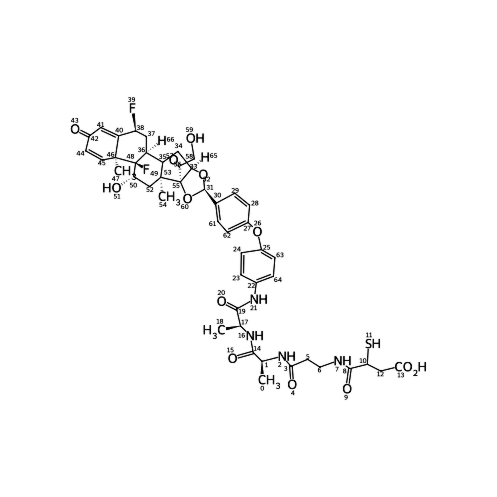 C[C@H](NC(=O)CCNC(=O)C(S)CC(=O)O)C(=O)N[C@@H](C)C(=O)Nc1ccc(Oc2ccc([C@@H]3O[C@@H]4CC5[C@@H]6C[C@H](F)C7=CC(=O)C=C[C@]7(C)[C@@]6(F)[C@@H](O)C[C@]5(C)[C@]4(C(=O)CO)O3)cc2)cc1